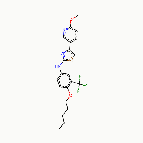 CCCCCOc1ccc(Nc2nc(-c3ccc(OC)nc3)cs2)cc1C(F)(F)F